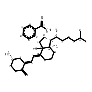 C=C1CC[C@H](O)CC1=CC=C1CCC[C@]2(C)[C@@H]([C@H](C)CCCC(C)C)CC[C@@H]12.O=C(O)c1ccccc1